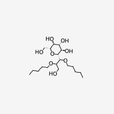 CCCCCOC(CO)C(OCCCCC)[C@@H]1O[C@H](CO)[C@@H](O)[C@H](O)[C@H]1O